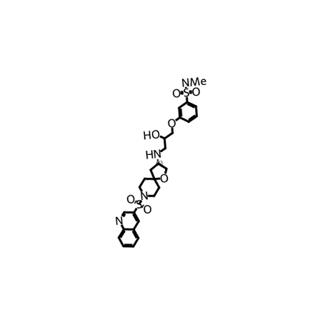 CNS(=O)(=O)c1cccc(OCC(O)CN[C@@H]2COC3(CCN(S(=O)(=O)c4cnc5ccccc5c4)CC3)C2)c1